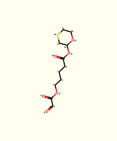 O=CC(=O)OCCCCC(=O)OC1CSCCO1